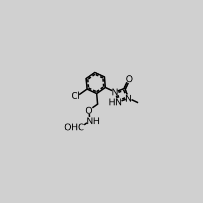 Cn1[nH]n(-c2cccc(Cl)c2CONC=O)c1=O